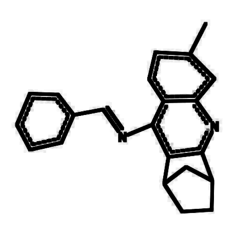 Cc1ccc2c(N=Cc3ccccc3)c3c(nc2c1)C1CCC3C1